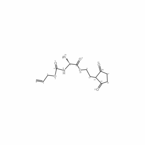 C=CCOC(=O)N[C@H](C(=O)OCCC1C(=O)CCC1=O)C(C)C